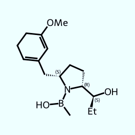 CC[C@H](O)[C@H]1CC[C@@H](CC2=CCCC(OC)=C2)N1B(C)O